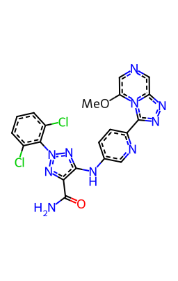 COc1cncc2nnc(-c3ccc(Nc4nn(-c5c(Cl)cccc5Cl)nc4C(N)=O)cn3)n12